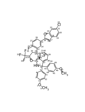 COc1ccc(C(NC2=N[C@](CF)(c3cc(-c4nc5ccc(Cl)cc5o4)ccc3F)CC(C(F)(F)F)O2)(c2ccccc2)c2ccc(OC)cc2)cc1